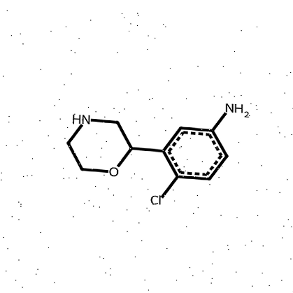 Nc1ccc(Cl)c(C2CNCCO2)c1